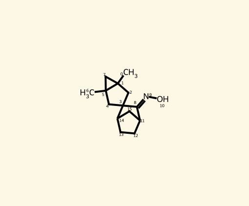 CC12CC3(CC1(C)C2)C(=NO)C1CCC3C1